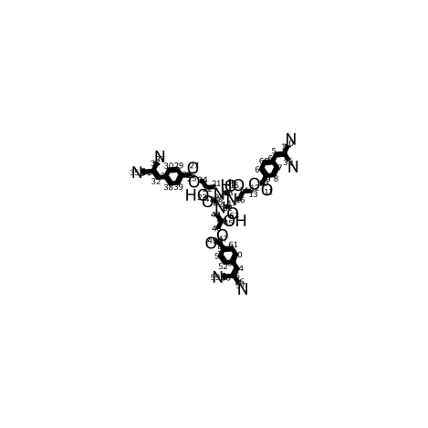 N#CC(C#N)=Cc1ccc(C(=O)OCC(O)Cn2c(=O)n(CC(O)COC(=O)c3ccc(C=C(C#N)C#N)cc3)c(=O)n(CC(O)COC(=O)c3ccc(C=C(C#N)C#N)cc3)c2=O)cc1